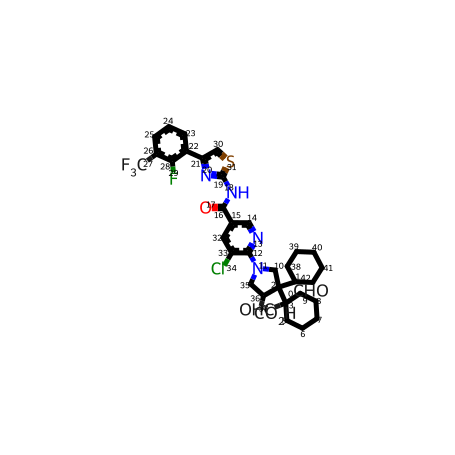 O=CC1(C2(C3(C=O)CCCCC3)CN(c3ncc(C(=O)Nc4nc(-c5cccc(C(F)(F)F)c5F)cs4)cc3Cl)CC2C(=O)O)CCCCC1